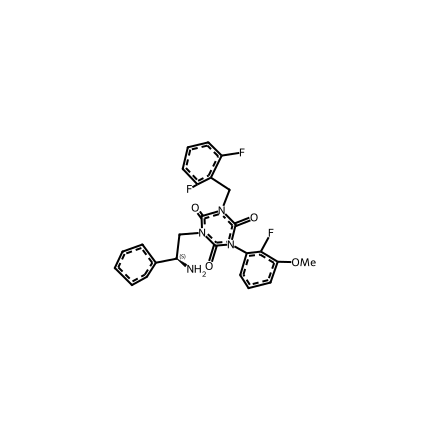 COc1cccc(-n2c(=O)n(Cc3c(F)cccc3F)c(=O)n(C[C@@H](N)c3ccccc3)c2=O)c1F